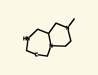 CN1CCN2CCCNCC2C1